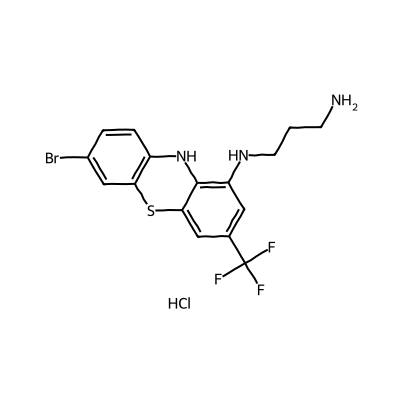 Cl.NCCCNc1cc(C(F)(F)F)cc2c1Nc1ccc(Br)cc1S2